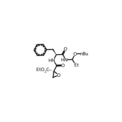 CCCCOC(CC)NC(=O)[C@H](Cc1ccccc1)NC(=O)[C@]1(C(=O)OCC)CO1